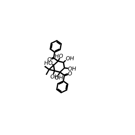 CC1(C)C2(O)C(O)(C(=O)c3ccccc3)C(O)C(O)C(O)(C(=O)c3ccccc3)C12O